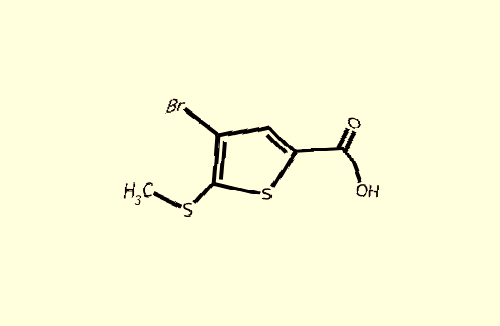 CSc1sc(C(=O)O)cc1Br